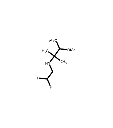 COC(OC)C(C)(C)NCC(F)F